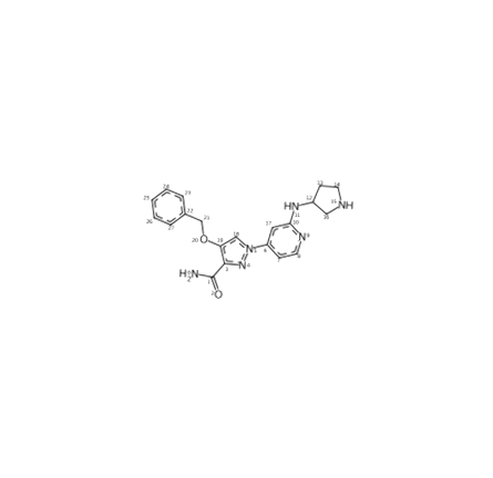 NC(=O)c1nn(-c2ccnc(NC3CCNC3)c2)cc1OCc1ccccc1